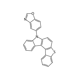 c1ccc2c(c1)sc1ccc3c(c4ccccc4n3-c3ccc4ocnc4c3)c12